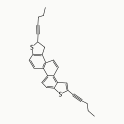 CCCC#Cc1cc2c(ccc3c4ccc5c(c4ccc23)CC(C#CCCC)S5)s1